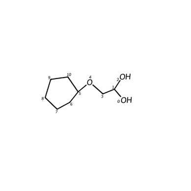 OC(O)COC1CCCCC1